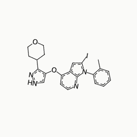 Cc1ccccc1-n1c(I)cc2c(Oc3c[nH]nc3C3CCOCC3)ccnc21